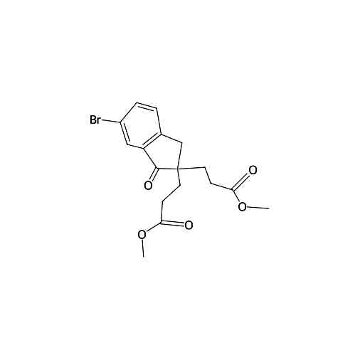 COC(=O)CCC1(CCC(=O)OC)Cc2ccc(Br)cc2C1=O